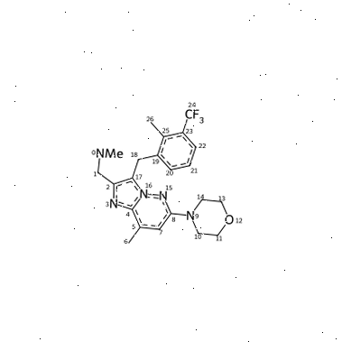 CNCc1nc2c(C)cc(N3CCOCC3)nn2c1Cc1cccc(C(F)(F)F)c1C